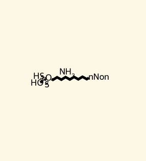 CCCCCCCCCCCCCCCCCCOP(O)(=S)S.N